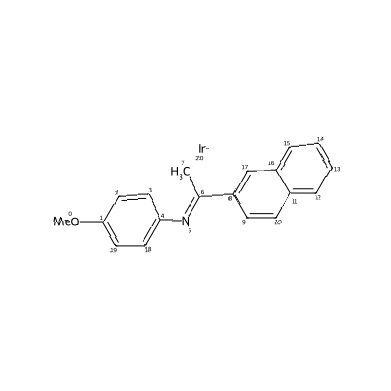 COc1ccc(N=C(C)c2ccc3ccccc3c2)cc1.[Ir]